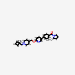 O=C[C@H]1CCCN1C(=O)c1ccc(-c2ccc(OCC3CCN(CC4(C(F)(F)F)CCC4)CC3)nc2)cc1